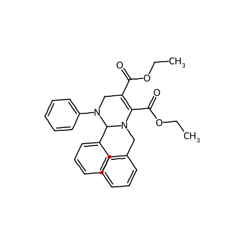 CCOC(=O)C1=C(C(=O)OCC)N(Cc2ccccc2)C(c2ccccc2)N(c2ccccc2)C1